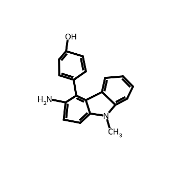 Cn1c2ccccc2c2c(-c3ccc(O)cc3)c(N)ccc21